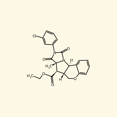 CCOC(=O)[C@@H]1[C@H]2COc3ccccc3[C@@H]2N2C(=O)N(c3cccc(Cl)c3)C(=O)[C@@]12C